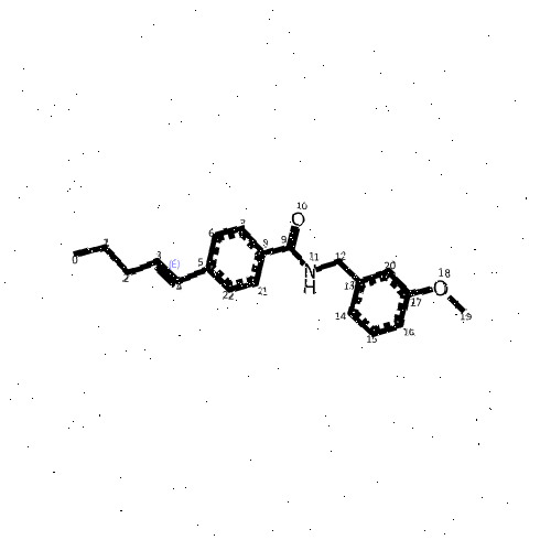 CCC/C=C/c1ccc(C(=O)NCc2cccc(OC)c2)cc1